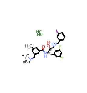 CCCCN(C)Cc1cc(C)cc(C(=O)N[C@@H](Cc2cc(F)cc(F)c2)[C@H](O)CNCc2cccc(I)c2)c1.Cl.Cl